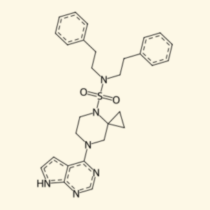 O=S(=O)(N(CCc1ccccc1)CCc1ccccc1)N1CCN(c2ncnc3[nH]ccc23)CC12CC2